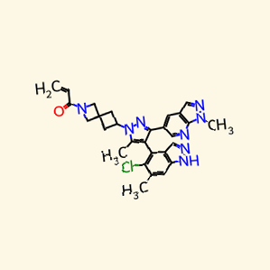 C=CC(=O)N1CC2(CC(n3nc(-c4cnc5c(cnn5C)c4)c(-c4c(Cl)c(C)cc5[nH]ncc45)c3C)C2)C1